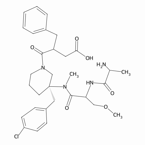 COCC(NC(=O)C(C)N)C(=O)N(C)[C@@]1(Cc2ccc(Cl)cc2)CCCN(C(=O)C(CC(=O)O)Cc2ccccc2)C1